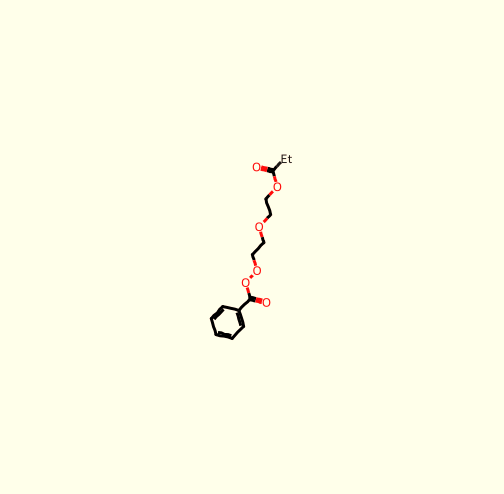 CCC(=O)OCCOCCOOC(=O)c1ccccc1